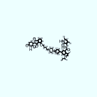 CC[C@H](C)n1cc(C)c2c(C(=O)NCc3c(C)cc(C)[nH]c3=O)cc(-c3ccc(N4CCN(CCCCOc5cccc6c5C(=O)N(C5CCC(=O)NC5=O)C6=O)CC4)nc3)cc21